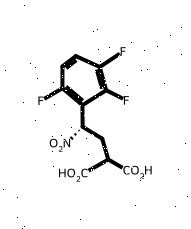 O=C(O)C(C[C@@H](c1c(F)ccc(F)c1F)[N+](=O)[O-])C(=O)O